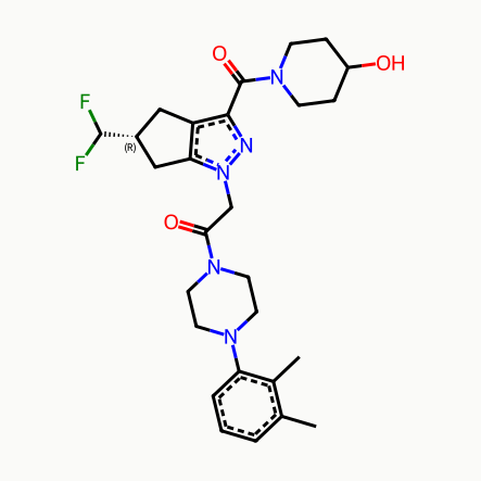 Cc1cccc(N2CCN(C(=O)Cn3nc(C(=O)N4CCC(O)CC4)c4c3C[C@H](C(F)F)C4)CC2)c1C